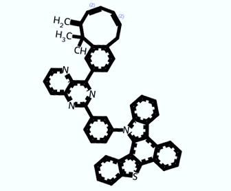 C=C1/C=C\C=C/Cc2ccc(-c3nc(-c4cccc(-n5c6ccccc6c6c7ccccc7c7sc8ccccc8c7c65)c4)nc4cccnc34)cc2C1(C)C